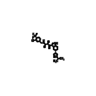 CC(C)n1cc(-c2ccc3[nH]cc(NC(=O)C(=O)NCc4ccc(C(F)(F)F)c(Cl)c4)c3c2)cn1